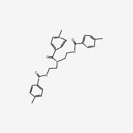 Cc1ccc(C(=O)OCCN(CCOC(=O)c2ccc(C)cc2)C(=O)c2ccc(C)cc2)cc1